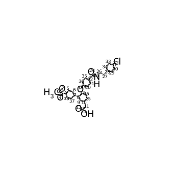 CS(=O)(=O)c1ccc(-c2cc(CC(=O)O)ccc2Oc2ccc(C(=O)NCCc3ccc(Cl)cc3)cc2)cc1